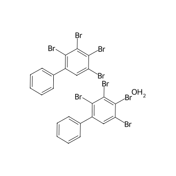 Brc1cc(-c2ccccc2)c(Br)c(Br)c1Br.Brc1cc(-c2ccccc2)c(Br)c(Br)c1Br.O